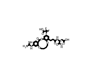 N=C(N)Nc1ccc2c(c1)OCCCCOc1c(CCC(=O)N[C@@H](CC(=O)O)C(=O)O)cccc1OC2=O.O=C(O)C(F)(F)F